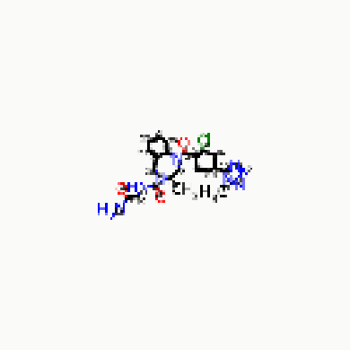 C[C@@H]1CN(C(=O)c2ccc(-c3nnnn3C)cc2Cl)c2ccccc2CN1C(=O)NCC(N)=O